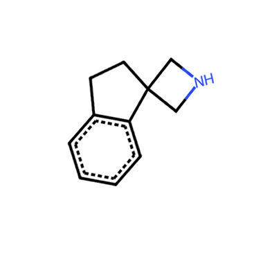 c1ccc2c(c1)CCC21CNC1